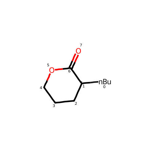 CCCC[C]1CCCOC1=O